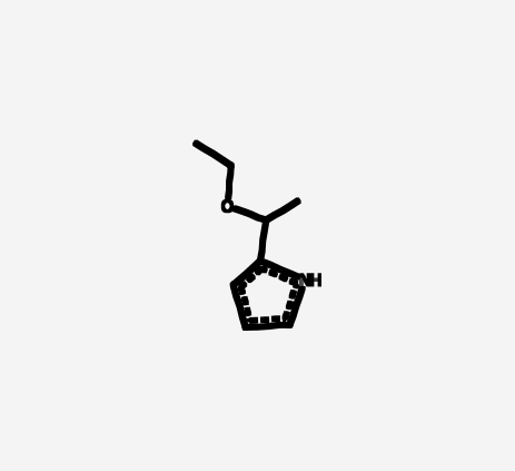 CCOC(C)c1ccc[nH]1